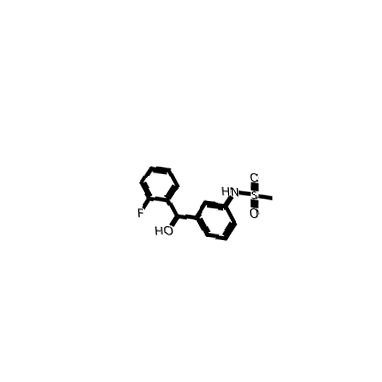 CS(=O)(=O)Nc1cccc(C(O)c2ccccc2F)c1